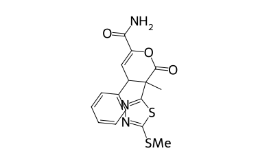 CSc1nnc(C2(C)C(=O)OC(C(N)=O)=CC2c2ccccc2)s1